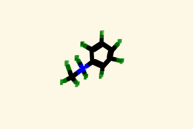 Fc1c(F)c(F)c([N+](F)(F)C(F)(F)F)c(F)c1F